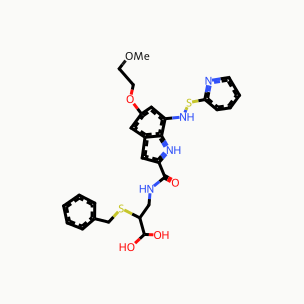 COCCOc1cc(NSc2ccccn2)c2[nH]c(C(=O)NCC(SCc3ccccc3)C(O)O)cc2c1